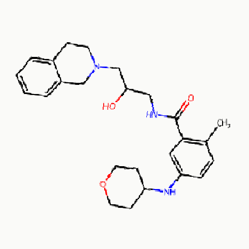 Cc1ccc(NC2CCOCC2)cc1C(=O)NCC(O)CN1CCc2ccccc2C1